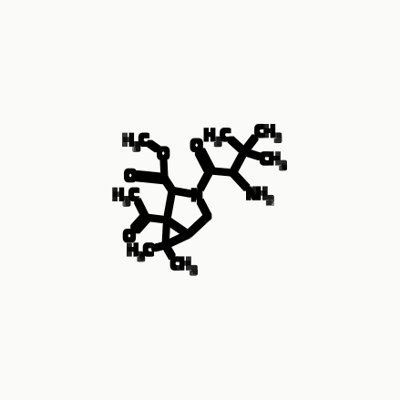 COC(=O)C1N(C(=O)C(N)C(C)(C)C)CC2C(C)(C)C12C(C)=O